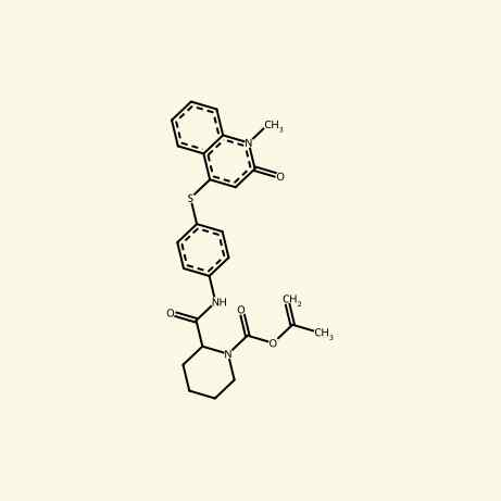 C=C(C)OC(=O)N1CCCCC1C(=O)Nc1ccc(Sc2cc(=O)n(C)c3ccccc23)cc1